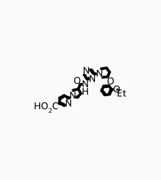 CCOc1ccccc1O[C@@H]1CCCN(c2cncc(NC(=O)C3CCN(c4ccc(C(=O)O)cn4)C3)n2)C1